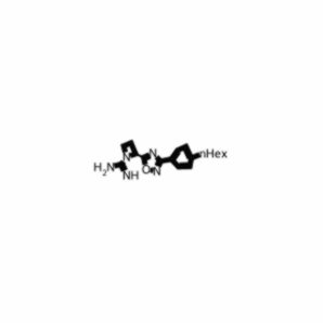 CCCCCCc1ccc(-c2noc([C@@H]3CCN3C(=N)N)n2)cc1